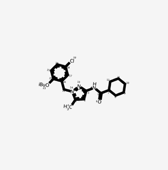 Cc1cc(NC(=O)C2CCCCC2)nn1Cc1cc(Cl)ccc1OCC(C)C